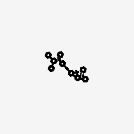 CC1(C)c2cc(C#Cc3ccc(N(c4ccccc4)c4cc(-c5ccccc5)cc(-c5ccccc5)c4)cc3)ccc2-c2ccc3c4ccccc4n(-c4ccccc4)c3c21